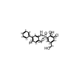 O=S(=O)(Nc1cc(-c2ccccc2)c(F)cc1F)c1cc(CO)cc(Cl)c1O